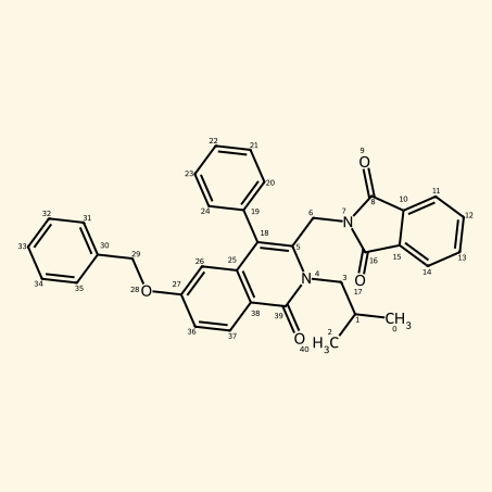 CC(C)Cn1c(CN2C(=O)c3ccccc3C2=O)c(-c2ccccc2)c2cc(OCc3ccccc3)ccc2c1=O